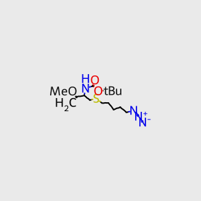 C=C(OC)C(CSCCCCCN=[N+]=[N-])NC(=O)OC(C)(C)C